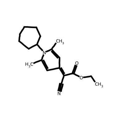 CCOC(=O)C(C#N)=C1C=C(C)N(C2CCCCCC2)C(C)=C1